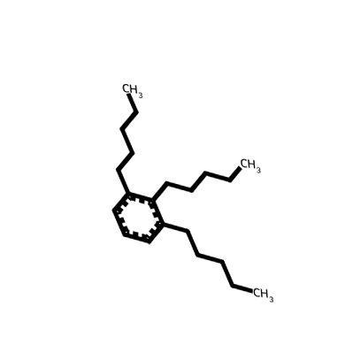 CCCCCc1[c]ccc(CCCCC)c1CCCCC